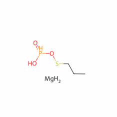 CCCSO[PH](=O)O.[MgH2]